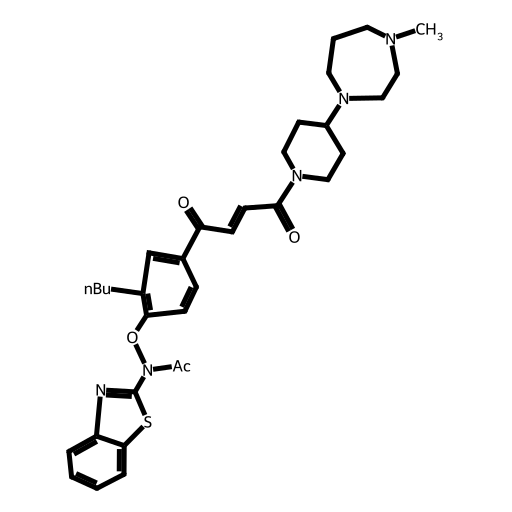 CCCCc1cc(C(=O)C=CC(=O)N2CCC(N3CCCN(C)CC3)CC2)ccc1ON(C(C)=O)c1nc2ccccc2s1